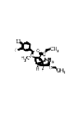 CCOC(=O)[C@@H]1[C@H](N(C)Cc2ccc(Cl)c(Cl)c2)C[C@@H]2[C@@]1(N)[C@@]2(F)C(=O)OCC